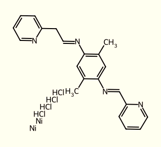 Cc1cc(N=Cc2ccccn2)c(C)cc1N=CCc1ccccn1.Cl.Cl.Cl.Cl.[Ni].[Ni]